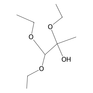 CCOC(OCC)C(C)(O)OCC